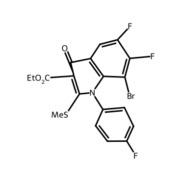 CCOC(=O)c1c(SC)n(-c2ccc(F)cc2)c2c(Br)c(F)c(F)cc2c1=O